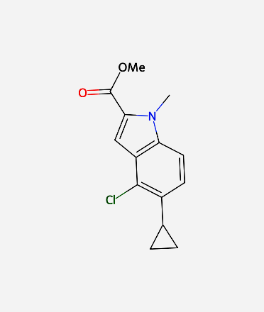 COC(=O)c1cc2c(Cl)c(C3CC3)ccc2n1C